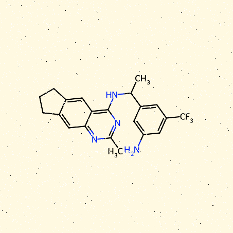 Cc1nc(NC(C)c2cc(N)cc(C(F)(F)F)c2)c2cc3c(cc2n1)CCC3